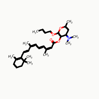 CCCCOC1OC(C)CC(N(C)C)C1OC(=O)C=C(C)C=CC=C(C)C=CC1=C(C)CCCC1(C)C